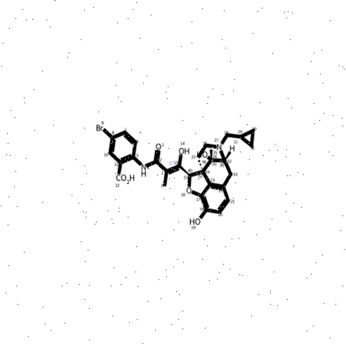 C/C(C(=O)Nc1ccc(Br)cc1C(=O)O)=C(/O)[C@@H]1Oc2c(O)ccc3c2[C@@]12CCN(CC1CC1)[C@H](C3)[C@@]2(C)O